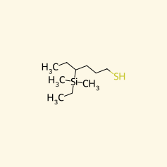 CCC(CCCS)[Si](C)(C)CC